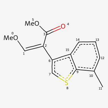 COC=C(C(=O)OC)c1csc2c(C)cccc12